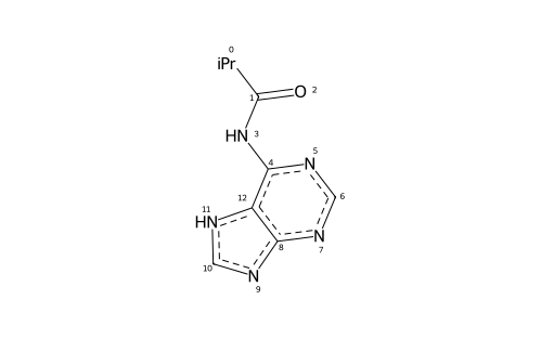 CC(C)C(=O)Nc1ncnc2nc[nH]c12